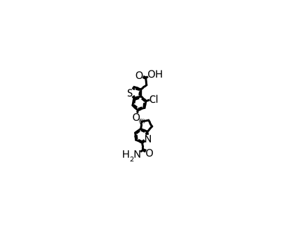 NC(=O)c1ccc2c(n1)CC[C@H]2Oc1cc(Cl)c2c(CC(=O)O)csc2c1